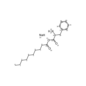 CCCCCCCCCC(=O)OC(=O)C(N)Cc1ccccc1.[NaH]